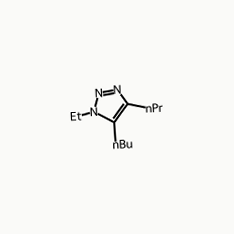 CCCCc1c(CCC)nnn1CC